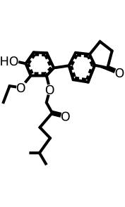 CCOc1c(O)ccc(-c2ccc3c(c2)CCC3=O)c1OCC(=O)CCC(C)C